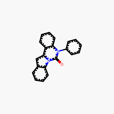 O=c1n(-c2ccccc2)c2ccccc2c2cc3ccccc3n12